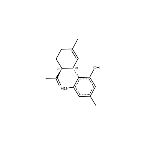 C=C(C)[C@H]1CCC(C)=C[C@@H]1c1c(O)cc(C)cc1O